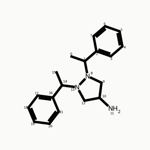 CC(c1ccccc1)N1CC(N)CN1C(C)c1ccccc1